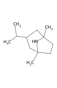 CC(C)C1CC2(C)CCC(C)(C1)N2